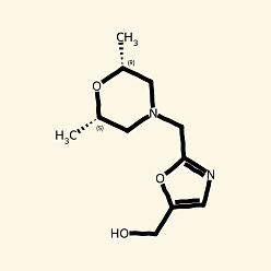 C[C@@H]1CN(Cc2ncc(CO)o2)C[C@H](C)O1